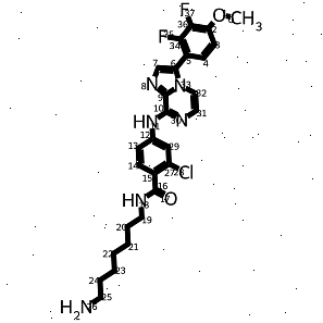 COc1ccc(-c2cnc3c(Nc4ccc(C(=O)NCCCCCCCN)c(Cl)c4)nccn23)c(F)c1F